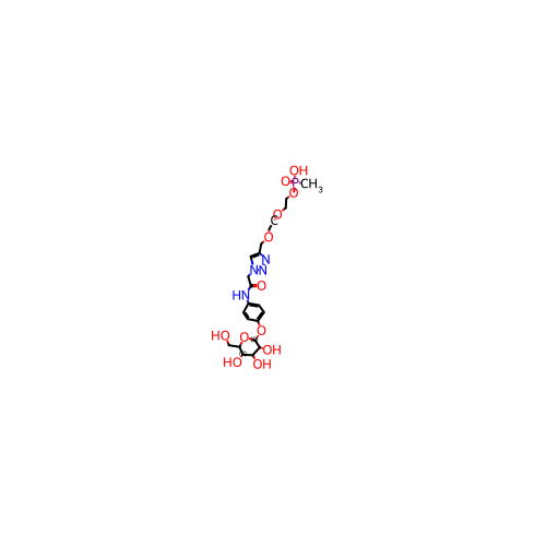 CP(=O)(O)OCCOCCOCc1cn(CC(=O)Nc2ccc(O[C@@H]3OC(CO)[C@H](O)C(O)C3O)cc2)nn1